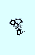 O=S(=O)(c1cccc(F)c1)N1CCCc2ccccc21